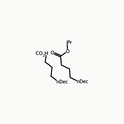 CCCCCCCCCCCCCC(=O)O.CCCCCCCCCCCCCC(=O)OC(C)C